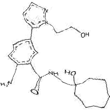 Nc1ccc(-c2ccnn2CCO)cc1C(=O)NCC1(O)CCCCCC1